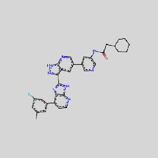 Cc1cc(F)cc(-c2ccnc3[nH]c(-c4n[nH]c5ncc(-c6cncc(NC(=O)CC7CCCCC7)c6)cc45)nc23)c1